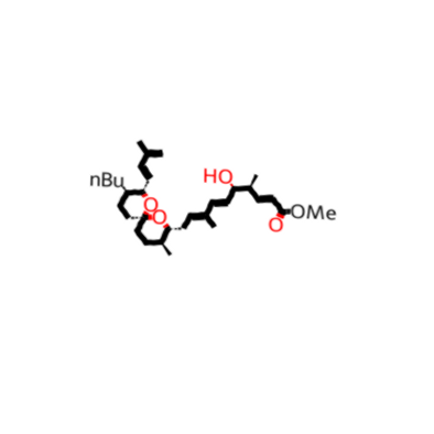 C=C(C)/C=C/[C@@H]1O[C@]2(CC[C@@H]1CCCC)CC[C@H](C)[C@@H](C/C=C(C)/C=C/[C@H](O)[C@@H](C)/C=C/C(=O)OC)O2